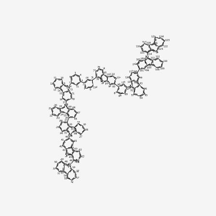 c1cc(-c2cccc(-n3c4ccccc4c4cc(-n5c6ccccc6c6c(-c7cccc8c7c7ccccc7n8-c7ccc8sc9c(-n%10c%11ccccc%11c%11ccccc%11%10)nccc9c8c7)cccc65)ccc43)c2)cc(-c2cccc3c2sc2cc(-c4cccc(-n5c6ccccc6c6cc(-c7ccc8c(c7)c7ccccc7n8-c7cccc8c7sc7ccccc78)ccc65)c4)ccc23)c1